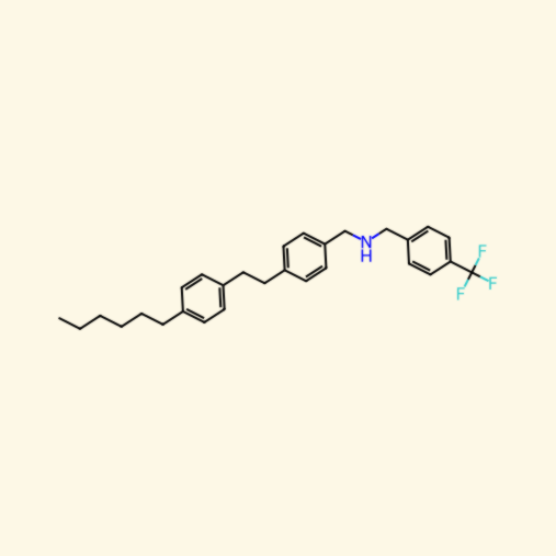 CCCCCCc1ccc(CCc2ccc(CNCc3ccc(C(F)(F)F)cc3)cc2)cc1